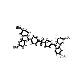 CC(C)(C)c1ccc2c(c1)c1cc(C(C)(C)C)ccc1n2-c1ccc(S(=O)(=O)c2ccc(-n3c4ccc(C(C)(C)C)cc4c4cc(C(C)(C)C)ccc43)cc2)cc1